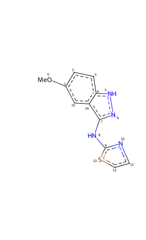 COc1ccc2[nH]nc(Nc3nccs3)c2c1